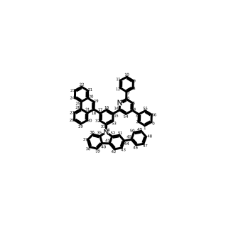 c1ccc(-c2cc(-c3ccccc3)nc(-c3cc(-c4cc5ccccc5c5ccccc45)cc(-n4c5ccccc5c5ccc(-c6ccccc6)cc54)c3)c2)cc1